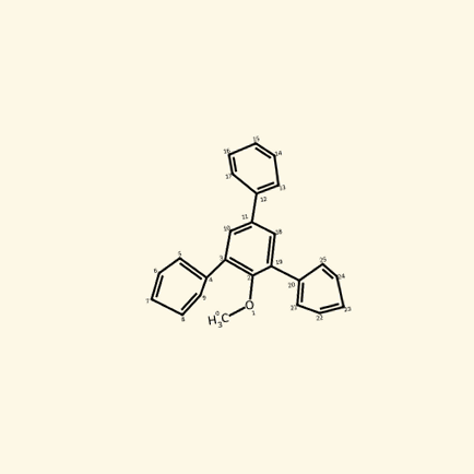 COc1c(-c2ccccc2)cc(-c2ccccc2)cc1-c1ccccc1